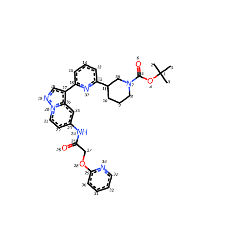 CC(C)(C)OC(=O)N1CCCC(c2cccc(-c3cnn4ccc(NC(=O)COc5ccccn5)cc34)n2)C1